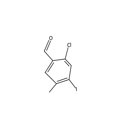 Cc1cc(C=O)c(Cl)cc1I